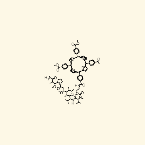 CC[C@H](C)[C@@H]([C@@H](CC(=O)N1CCCC1[C@H](OC)[C@@H](C)C(N)=O)OC)N(C)C(=O)[C@@H](NC(=O)[C@H](C(C)C)N(C)C(=O)OCCNC(=O)c1ccc(-c2c3nc(c(-c4ccc(C(C)=O)cc4)c4ccc([nH]4)c(-c4ccc(C(=O)OC)cc4)c4nc(c(-c5ccc(C(=O)OC)cc5)c5ccc2[nH]5)C=C4)C=C3)cc1)C(C)C